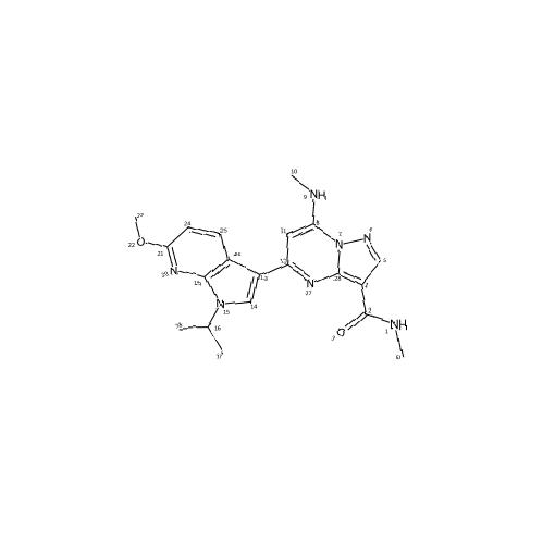 CNC(=O)c1cnn2c(NC)cc(-c3cn(C(C)C)c4nc(OC)ccc34)nc12